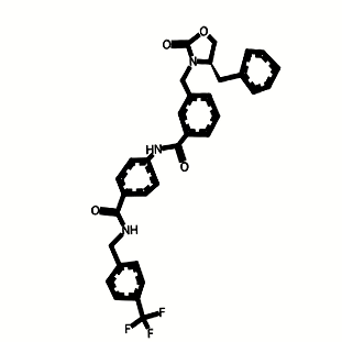 O=C(NCc1ccc(C(F)(F)F)cc1)c1ccc(NC(=O)c2cccc(CN3C(=O)OC[C@H]3Cc3ccccc3)c2)cc1